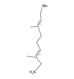 C/C(=C\CC/C(C)=C/CC(C)(C)C)CN